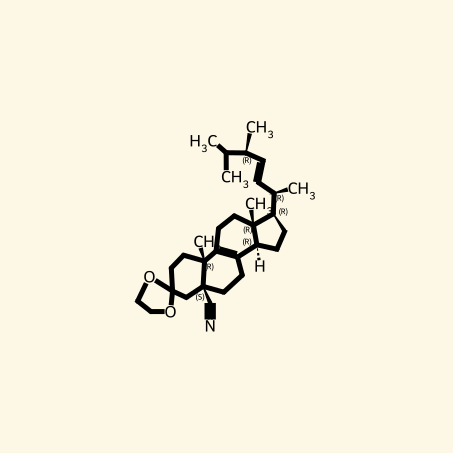 CC(C)[C@@H](C)C=C[C@@H](C)[C@H]1CC[C@H]2C3=C(CC[C@]12C)[C@@]1(C)CCC2(C[C@@]1(C#N)CC3)OCCO2